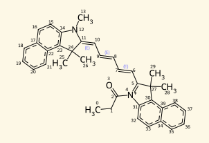 CCC(=O)[N+]1=C(/C=C/C=C/C=C2/N(C)c3ccc4ccccc4c3C2(C)C)C(C)(C)c2c1ccc1ccccc21